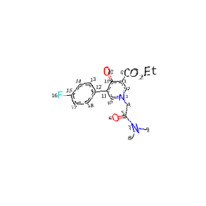 CCOC(=O)c1cn(CC(=O)N(C)C)cc(-c2ccc(F)cc2)c1=O